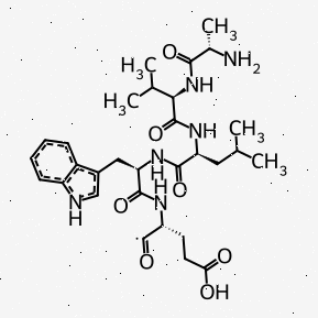 CC(C)C[C@H](NC(=O)[C@H](NC(=O)[C@H](C)N)C(C)C)C(=O)N[C@H](Cc1c[nH]c2ccccc12)C(=O)N[C@@H]([C]=O)CCC(=O)O